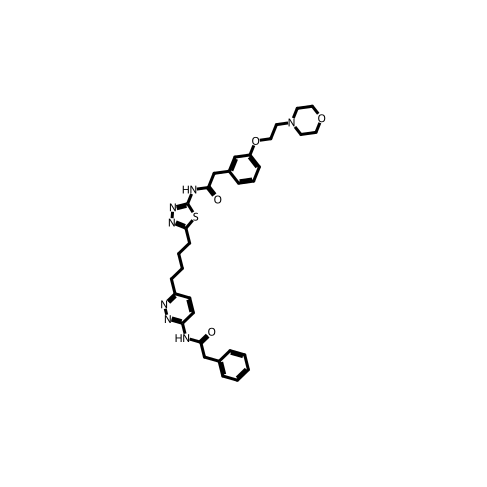 O=C(Cc1ccccc1)Nc1ccc(CCCCc2nnc(NC(=O)Cc3cccc(OCCN4CCOCC4)c3)s2)nn1